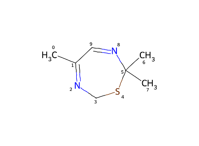 CC1=NCSC(C)(C)N=C1